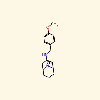 COc1ccc(CNC2CC3CCCC(C2)N3C)cc1